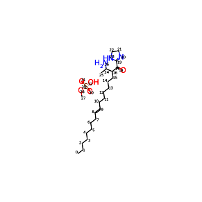 CCCCCCCCC=CCCCCCCC(C(=O)C1=NCCN1)C(C)N.COS(=O)(=O)O